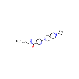 CCCCNC(=O)c1ccc(N2CCC3(CC2)CCN(C2CCC2)CC3)nc1